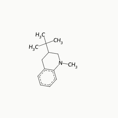 CN1CC(C(C)(C)C)Cc2ccccc21